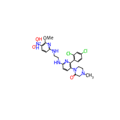 COc1nc(NCCNc2ccc(N3CCN(C)CC3=O)c(-c3ccc(Cl)cc3Cl)n2)ccc1[NH+]([O-])O